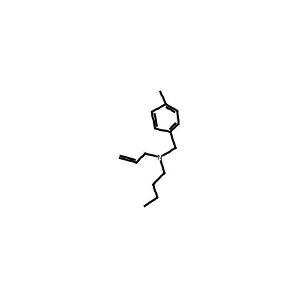 C=CCN(CCCC)Cc1ccc(C)cc1